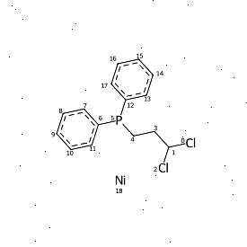 ClC(Cl)CCP(c1ccccc1)c1ccccc1.[Ni]